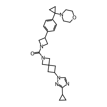 O=C(N1CC(c2ccc(C3(N4CCOCC4)CC3)cc2)C1)N1CC2(CC(n3cnc(C4CC4)n3)C2)C1